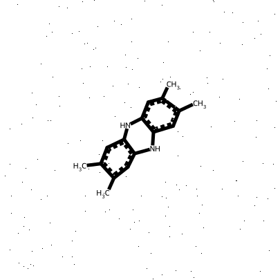 Cc1cc2c(cc1C)Nc1cc(C)c(C)cc1N2